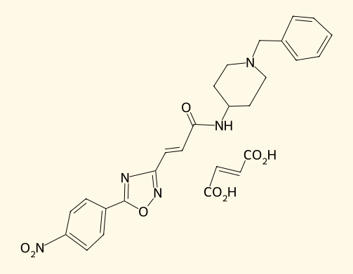 O=C(C=Cc1noc(-c2ccc([N+](=O)[O-])cc2)n1)NC1CCN(Cc2ccccc2)CC1.O=C(O)C=CC(=O)O